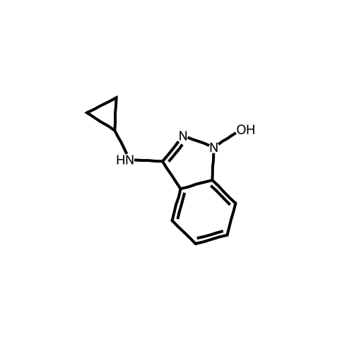 On1nc(NC2CC2)c2ccccc21